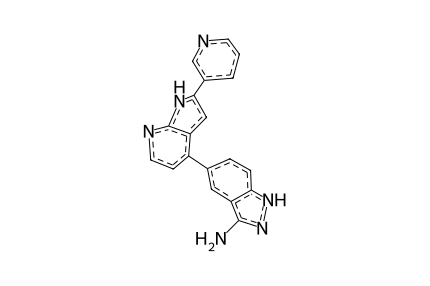 Nc1n[nH]c2ccc(-c3ccnc4[nH]c(-c5cccnc5)cc34)cc12